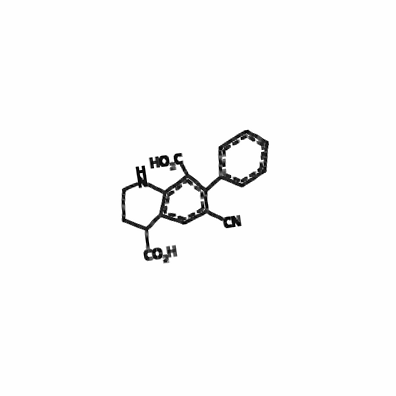 N#Cc1cc2c(c(C(=O)O)c1-c1ccccc1)NCCC2C(=O)O